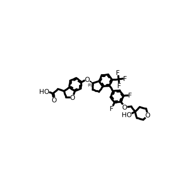 O=C(O)CC1COc2cc(O[C@@H]3CCc4c3ccc(C(F)(F)F)c4-c3cc(F)c(OCC4(O)CCOCC4)c(F)c3)ccc21